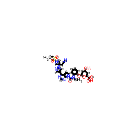 CCS(=O)(=O)N1CC(CC#N)(n2cc(-c3ncnc4c3ccn4C(=O)N(C)c3ccccc3O[C@H]3C[C@@H](O)C[C@@H](C(=O)O)O3)cn2)C1